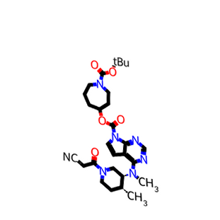 C[C@@H]1CCN(C(=O)CC#N)C[C@@H]1N(C)c1ncnc2c1ccn2C(=O)OC1CCCN(C(=O)OC(C)(C)C)CC1